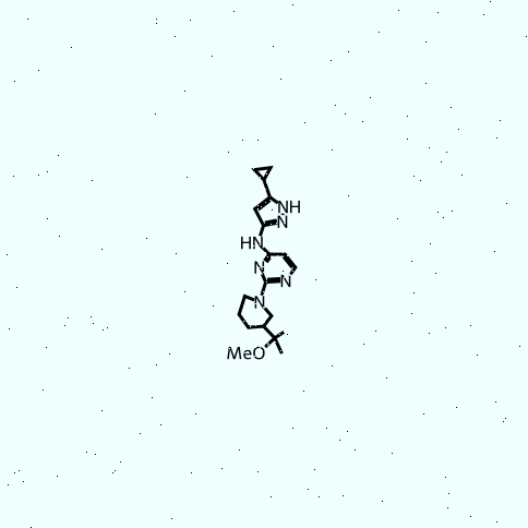 COC(C)(C)C1CCCN(c2nccc(Nc3cc(C4CC4)[nH]n3)n2)C1